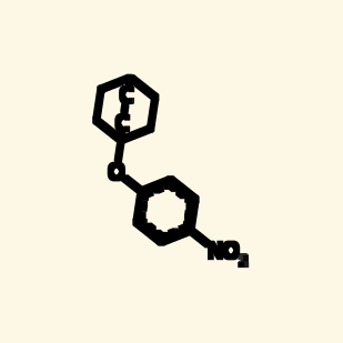 O=[N+]([O-])c1ccc(OC23CCC(CC2)CC3)cc1